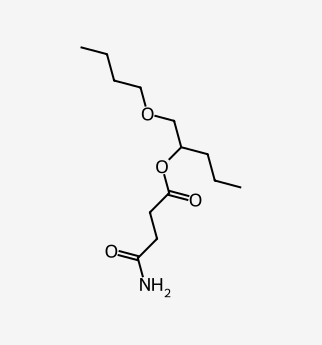 CCCCOCC(CCC)OC(=O)CCC(N)=O